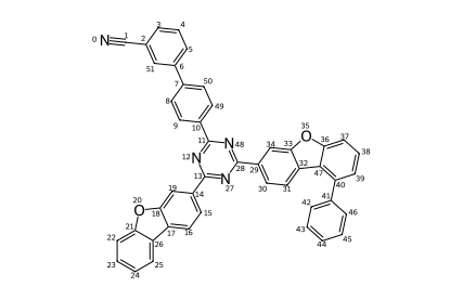 N#Cc1cccc(-c2ccc(-c3nc(-c4ccc5c(c4)oc4ccccc45)nc(-c4ccc5c(c4)oc4cccc(-c6ccccc6)c45)n3)cc2)c1